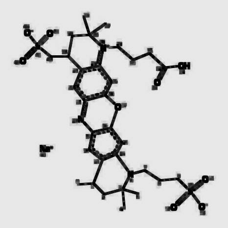 CC1CC(C)(C)N(CCCS(=O)(=O)[O-])c2cc3c(cc21)N=c1cc2c(cc1O3)=[N+](CCCC(=O)O)C(C)(C)CC2CS(=O)(=O)[O-].[Na+]